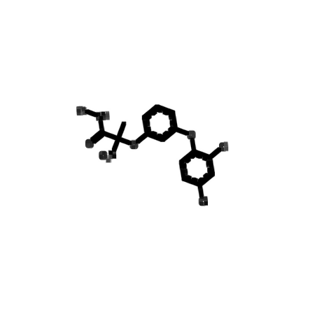 CCNC(=O)C(C)(Oc1cccc(Oc2ccc(Cl)cc2Cl)c1)[N+](=O)[O-]